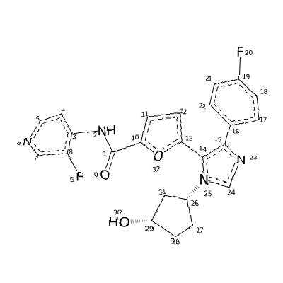 O=C(Nc1ccncc1F)c1ccc(-c2c(-c3ccc(F)cc3)ncn2[C@@H]2CC[C@H](O)C2)o1